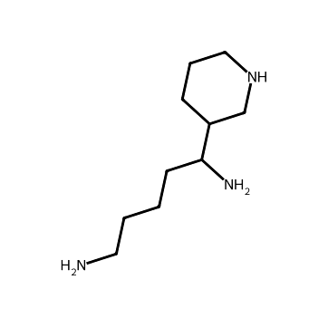 NCCCCC(N)C1CCCNC1